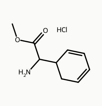 COC(=O)C(N)C1C=CC=CC1.Cl